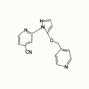 N#Cc1ccnc(-n2nccc2OCc2ccncc2)c1